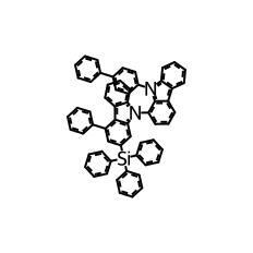 c1ccc(-c2ccc(-n3c4ccccc4c4cccc(-n5c6ccccc6c6c(-c7ccccc7)cc([Si](c7ccccc7)(c7ccccc7)c7ccccc7)cc65)c43)cc2)cc1